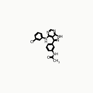 CC(=O)Nc1cccc(-c2n[nH]c3ncnc(Nc4cccc(Cl)c4)c23)c1